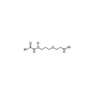 CC(C)NCCOCCC[S+]([O-])NC(=O)C(C)C